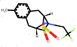 Cc1ccc2c(c1)C[C@H]1CC[C@@H](C2)[C@]12CN(CC(F)(F)F)S(=O)(=O)N2